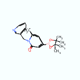 Cc1cc(B2OC(C)(C)C(C)(C)O2)cc(=O)n1Cc1cccnc1